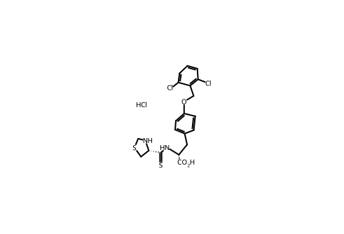 Cl.O=C(O)[C@@H](Cc1ccc(OCc2c(Cl)cccc2Cl)cc1)NC(=S)[C@@H]1CSCN1